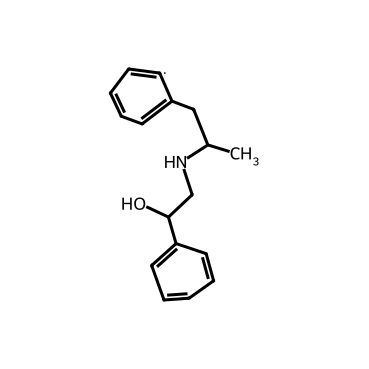 CC(Cc1[c]cccc1)NCC(O)c1ccccc1